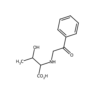 CC(O)C(NCC(=O)c1ccccc1)C(=O)O